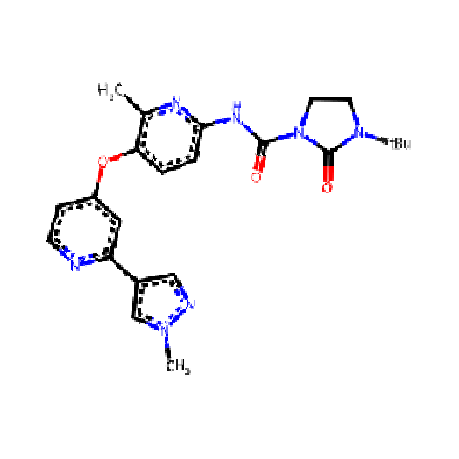 Cc1nc(NC(=O)N2CCN(C(C)(C)C)C2=O)ccc1Oc1ccnc(-c2cnn(C)c2)c1